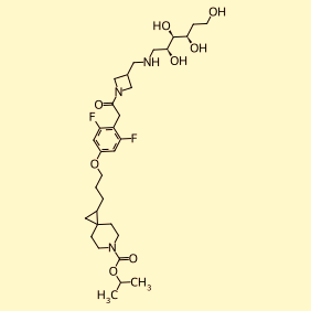 CC(C)OC(=O)N1CCC2(CC1)CC2CCCOc1cc(F)c(CC(=O)N2CC(CNC[C@H](O)[C@@H](O)[C@H](O)CCO)C2)c(F)c1